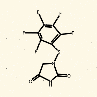 O=C1CN(Sc2c(F)c(F)c(F)c(F)c2F)C(=O)N1